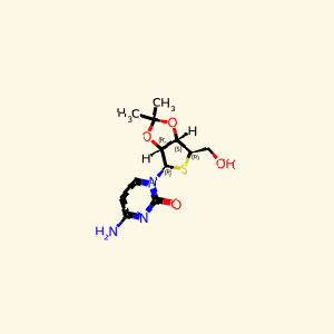 CC1(C)O[C@@H]2[C@H](O1)[C@@H](CO)S[C@H]2n1ccc(N)nc1=O